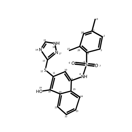 Cc1ccc(S(=O)(=O)Nc2cc(Sc3nc[nH]n3)c(O)c3ccccc23)c(C)c1